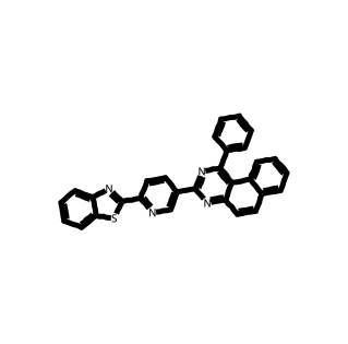 c1ccc(-c2nc(-c3ccc(-c4nc5ccccc5s4)nc3)nc3ccc4ccccc4c23)cc1